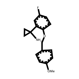 COc1ccc(COc2ccc(F)cc2C2(N)CC2)cc1